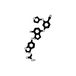 N#Cc1ccc(Oc2ccc(F)c3c2CC[C@H]3Oc2ccc3c(c2)OC[C@H]3CC(=O)O)cc1OC1CCOC1